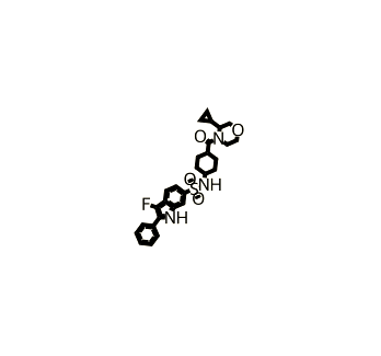 O=C(C1CCC(NS(=O)(=O)c2ccc3c(F)c(-c4ccccc4)[nH]c3c2)CC1)N1CCOCC1C1CC1